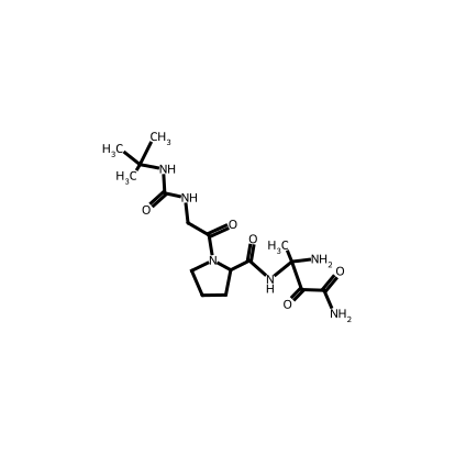 CC(C)(C)NC(=O)NCC(=O)N1CCCC1C(=O)NC(C)(N)C(=O)C(N)=O